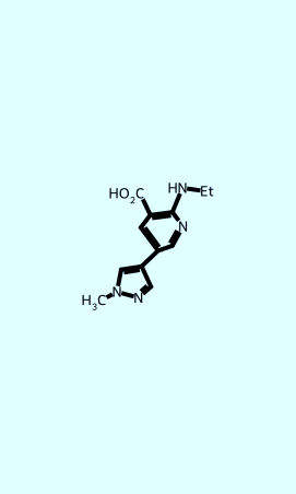 CCNc1ncc(-c2cnn(C)c2)cc1C(=O)O